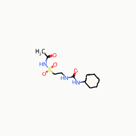 CC(=O)NS(=O)(=O)CCNC(=O)NC1CCCCC1